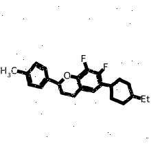 CCC1CCC(c2cc3c(c(F)c2F)OC(c2ccc(C)cc2)CC3)CC1